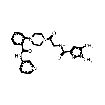 Cc1cc(C(=O)NCC(=O)N2CCN(c3ccccc3C(=O)Nc3cccnc3)CC2)nn1C